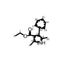 CCOC(=O)c1c(C)[nH]c(C)c1-c1ccccc1